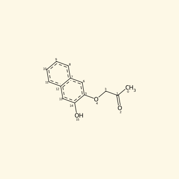 CC(=O)COc1cc2ccccc2cc1O